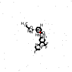 CCc1nnc([C@]23C[C@H](C)C[C@H](C2)N3C(=O)Nc2cc(-c3ncc(F)cn3)c(C(F)(F)F)cn2)o1